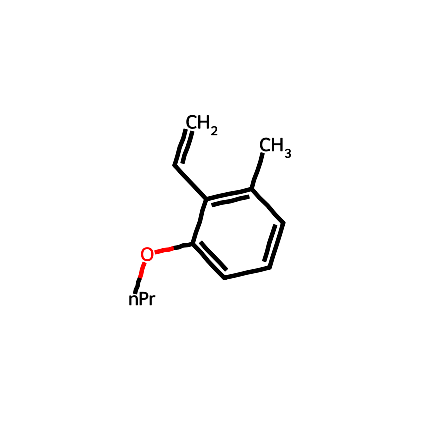 C=Cc1c(C)cccc1OCCC